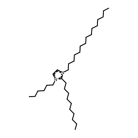 CCCCCCCCCCCCCCCn1cc[n+](CCCCCC)c1CCCCCCCCCC